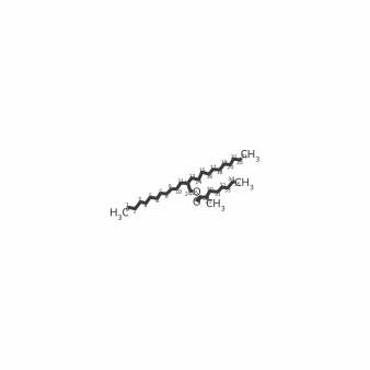 CCCCCCCCCCCCC(CCCCCCCCCCC)COC(=O)C(C)CCCCCC